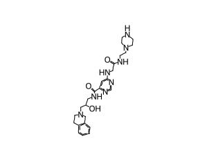 O=C(CNc1cc(C(=O)NCC(O)CN2CCc3ccccc3C2)ncn1)NCCN1CCNCC1